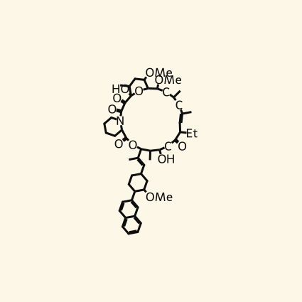 CCC1/C=C(\C)CC(C)CC(OC)C2OC(O)(C(=O)C(=O)N3CCCCC3C(=O)OC(C(C)=CC3CCC(c4ccc5ccccc5c4)C(OC)C3)C(C)C(O)CC1=O)C(C)CC2OC